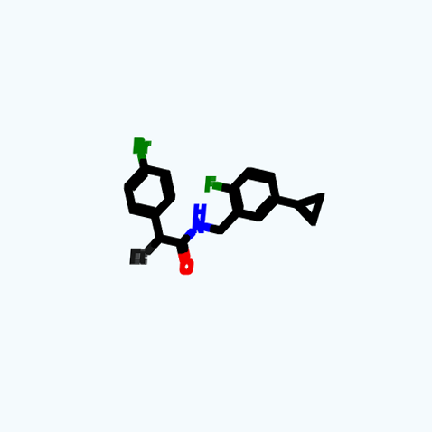 CCC(C(=O)NCc1cc(C2CC2)ccc1F)c1ccc(Br)cc1